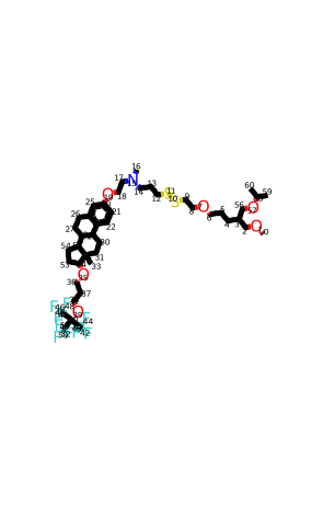 COCC(CCCOCCSSCCCN(C)CCOc1ccc2c(c1)CCC1C2CCC2(C)C(OCCCOC(C(F)(F)F)(C(F)(F)F)C(F)(F)F)CCC12)COC(C)C